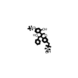 CC(C)(Cc1ccc2c(c1)OCC(c1ccc(O[Si](C)(C)C(C)(C)C)cc1O)=C2C(O)c1ccccc1)[Si](C)(C)O